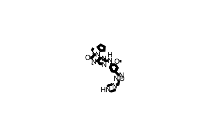 CC[C@@H]1C(=O)N(C)c2cnc(Nc3ccc(-c4noc(CN5CCNCC5)n4)cc3OC)nc2N1C1CCCC1